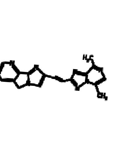 Cc1ncc(C)n2nc(C=Cc3cn4c(n3)-c3ncccc3C4)nc12